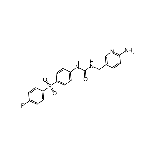 Nc1ccc(CNC(=O)Nc2ccc(S(=O)(=O)c3ccc(F)cc3)cc2)cn1